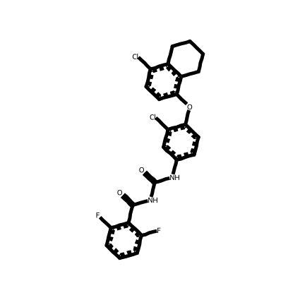 O=C(NC(=O)c1c(F)cccc1F)Nc1ccc(Oc2ccc(Cl)c3c2CCCC3)c(Cl)c1